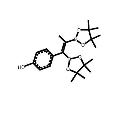 C/C(B1OC(C)(C)C(C)(C)O1)=C(/B1OC(C)(C)C(C)(C)O1)c1ccc(O)cc1